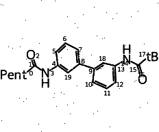 CCCCCC(=O)Nc1cccc(-c2[c]ccc(NC(=O)C(C)(C)C)c2)c1